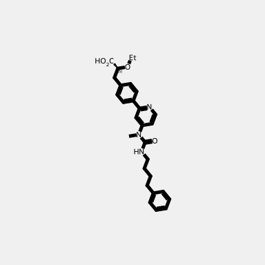 CCO[C@@H](Cc1ccc(-c2cc(N(C)C(=O)NCCCCc3ccccc3)ccn2)cc1)C(=O)O